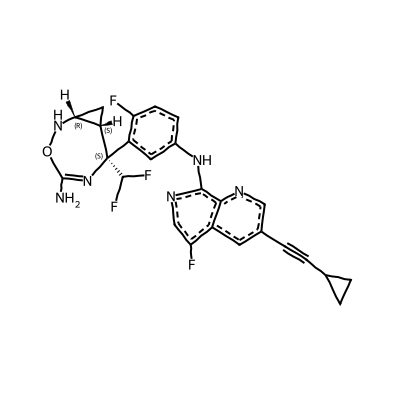 NC1=N[C@@](c2cc(Nc3ncc(F)c4cc(C#CC5CC5)cnc34)ccc2F)(C(F)F)[C@H]2C[C@H]2NO1